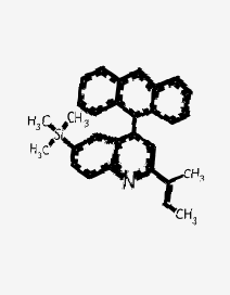 C/C=C(\C)c1cc(-c2c3ccccc3cc3ccccc23)c2cc([Si](C)(C)C)ccc2n1